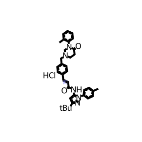 Cc1ccc(-n2nc(C(C)(C)C)cc2NC(=O)/C=C/c2ccc(CN3CCC(=O)N(c4ccccc4C)C3)cc2)cc1.Cl